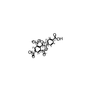 O=C(O)c1ccc(NC(=O)c2c([N+](=O)[O-])cc([N+](=O)[O-])cc2[N+](=O)[O-])cc1